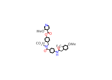 COc1ccc(CC(=O)Nc2ccc(C(=O)N(CC(=O)O)Cc3ccc(OC(=O)c4ccncc4OC)cc3)cc2)c(C(F)(F)F)c1